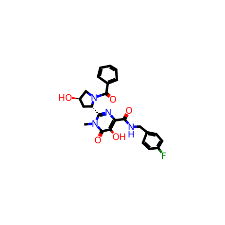 Cn1c([C@@H]2C[C@@H](O)CN2C(=O)c2ccccc2)nc(C(=O)NCc2ccc(F)cc2)c(O)c1=O